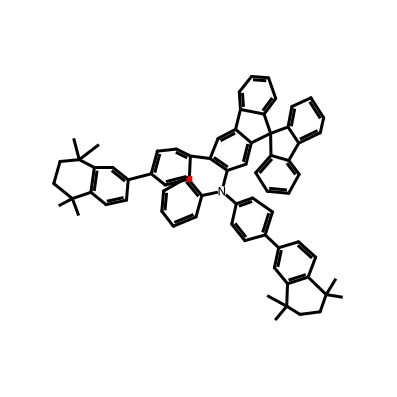 CC1(C)CCC(C)(C)c2cc(-c3ccc(-c4cc5c(cc4N(c4ccccc4)c4ccc(-c6ccc7c(c6)C(C)(C)CCC7(C)C)cc4)C4(c6ccccc6-c6ccccc64)c4ccccc4-5)cc3)ccc21